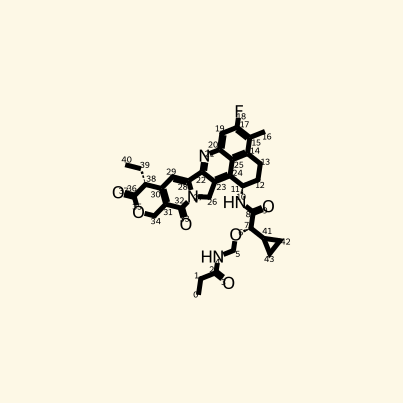 CCC(=O)NCO[C@H](C(=O)N[C@H]1CCc2c(C)c(F)cc3nc4c(c1c23)Cn1c-4cc2c(c1=O)COC(=O)[C@@H]2CC)C1CC1